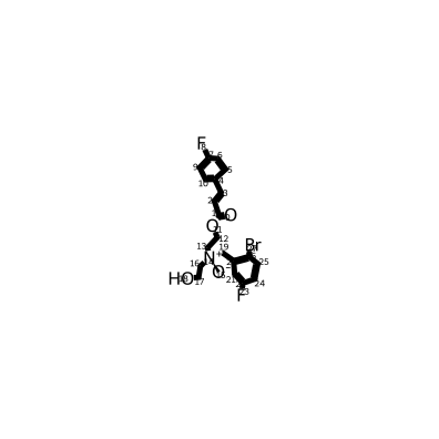 O=C(/C=C/c1ccc(F)cc1)OCC[N@@+]([O-])(CCO)Cc1cc(F)ccc1Br